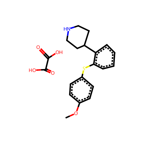 COc1ccc(Sc2ccccc2C2CCNCC2)cc1.O=C(O)C(=O)O